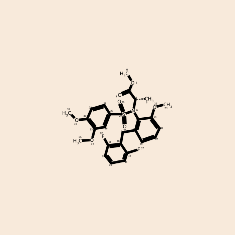 COC(=O)[C@H](C)N(c1c(Cc2c(F)cccc2F)cccc1OC)S(=O)(=O)c1ccc(OC)c(OC)c1